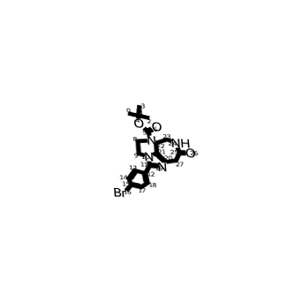 CC(C)(C)OC(=O)N1CCn2c(-c3ccc(Br)cc3)nc3c2C1CNC(=O)C3